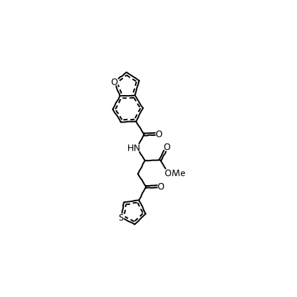 COC(=O)C(CC(=O)c1ccsc1)NC(=O)c1ccc2occc2c1